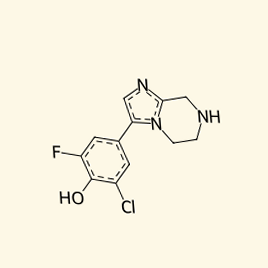 Oc1c(F)cc(-c2cnc3n2CCNC3)cc1Cl